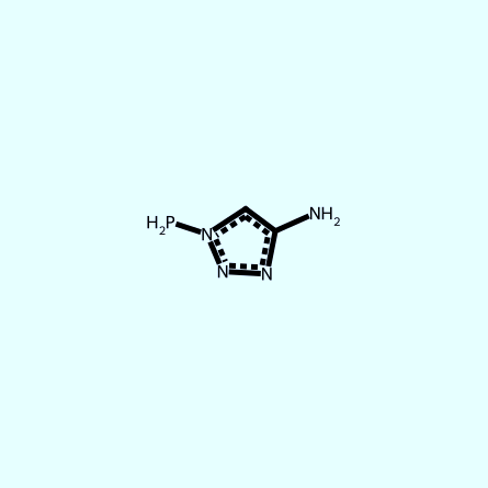 Nc1cn(P)nn1